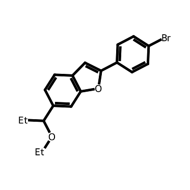 CCOC(CC)c1ccc2cc(-c3ccc(Br)cc3)oc2c1